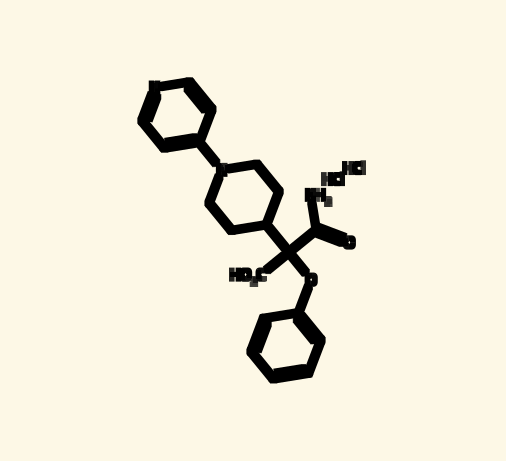 Cl.Cl.NC(=O)C(Oc1ccccc1)(C(=O)O)C1CCN(c2ccncc2)CC1